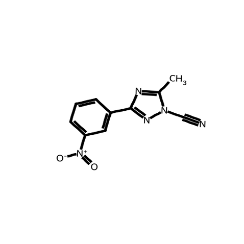 Cc1nc(-c2cccc([N+](=O)[O-])c2)nn1C#N